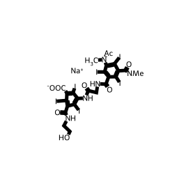 CNC(=O)c1c(I)c(C(=O)NCC(=O)Nc2c(I)c(C(=O)[O-])c(I)c(C(=O)NCCO)c2I)c(I)c(N(C)C(C)=O)c1I.[Na+]